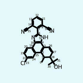 CC1c2c(c3[nH]c(-c4c(C#N)cccc4C#N)nc3c3ccc(Cl)cc23)C=CC1C(C)(C)O